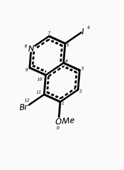 COc1ccc2c(I)cncc2c1Br